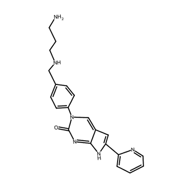 NCCCNCc1ccc(-n2cc3cc(-c4ccccn4)[nH]c3nc2=O)cc1